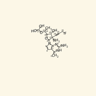 C=C1NC(N)=Nc2c1ccn2[C@@H]1O[C@H]([C@H](C)OC(O)O)C(O)C1(N)C#CCF